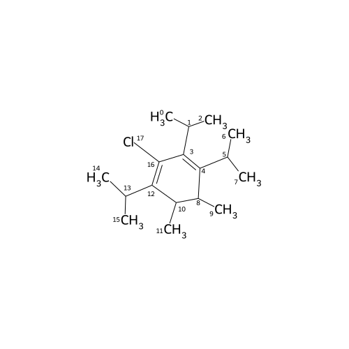 CC(C)C1=C(C(C)C)C(C)C(C)C(C(C)C)=C1Cl